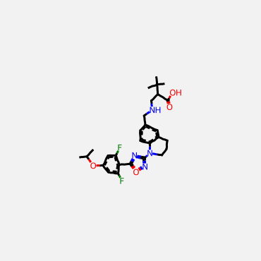 CC(C)Oc1cc(F)c(-c2nc(N3CCCc4cc(CNCC(C(=O)O)C(C)(C)C)ccc43)no2)c(F)c1